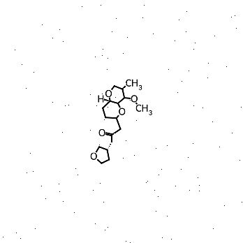 COC1C(C)CO[C@H]2CCC(CC(=O)C[C@@H]3CCOC3)OC12